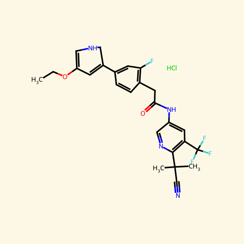 CCOC1=CNCC(c2ccc(CC(=O)Nc3cnc(C(C)(C)C#N)c(C(F)(F)F)c3)c(F)c2)=C1.Cl